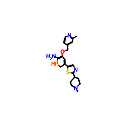 Cc1cc(COC2=C(N)PCC(c3cnc(C4CCN(C)CC4)s3)=C2)ccn1